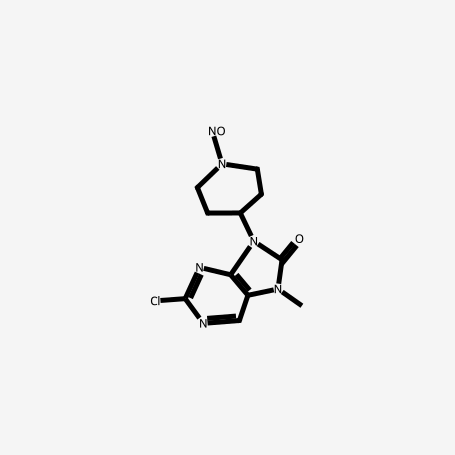 Cn1c(=O)n(C2CCN(N=O)CC2)c2nc(Cl)ncc21